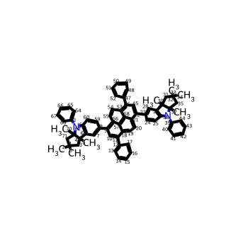 CC1(C)CC2(C)c3cc(-c4cc(-c5ccccc5)c5ccc6c(-c7ccc8c(c7)C7(C)CC(C)(C)CC7(C)N8c7ccccc7)cc(-c7ccccc7)c7ccc4c5c76)ccc3N(c3ccccc3)C2(C)C1